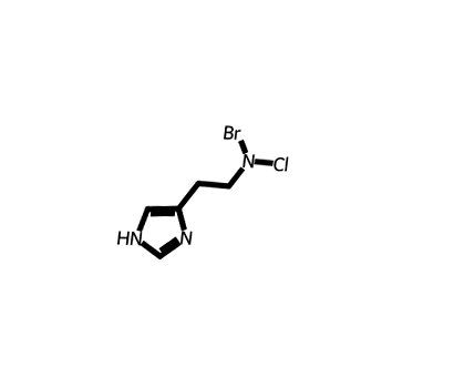 ClN(Br)CCc1c[nH]cn1